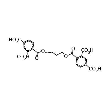 O=C(O)c1ccc(C(=O)OCCCCOC(=O)c2ccc(C(=O)O)cc2C(=O)O)c(C(=O)O)c1